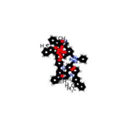 CC1(C)c2ccccc2-c2cc3c4ccccc4n(-c4ccncc4-c4ccc(-c5nc(-c6ccccc6)nc(-c6ccc(-c7cnccc7-n7c8ccccc8c8cc9c(cc87)C(C)(C)c7ccccc7-9)c(-n7c8ccccc8c8cc9c(cc87)C(C)(C)c7ccccc7-9)c6)n5)cc4-n4c5ccccc5c5cc6c(cc54)C(C)(C)c4ccccc4-6)c3cc21